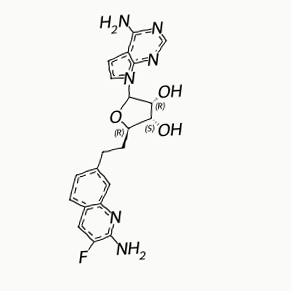 Nc1nc2cc(CC[C@H]3OC(n4ccc5c(N)ncnc54)[C@H](O)[C@@H]3O)ccc2cc1F